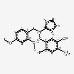 COc1ccc(CN(Sc2cc(Cl)c(N)cc2F)c2nccs2)c(OC)c1